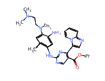 Cc1cc(N(C)CCN(C)C)c(N)cc1Nc1ncc(C(=O)OC(C)C)c(-c2cnc3ccccn23)n1